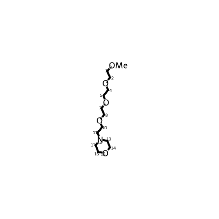 COCCOCCOCCOCCN1CCOCC1